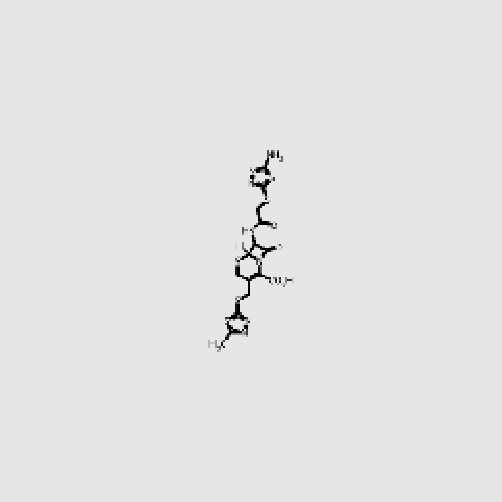 Cc1nnc(SCC2=C(C(=O)O)N3C(=O)C(NC(=O)CSc4nnc(N)s4)[C@H]3SC2)s1